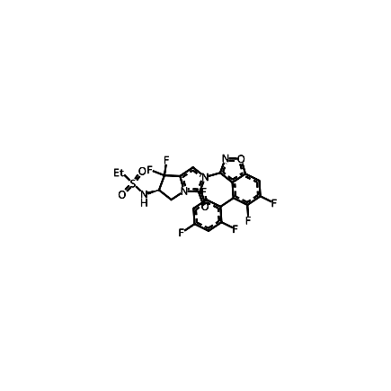 CCS(=O)(=O)N[C@@H]1Cn2c(cn(-c3noc4cc(F)c(F)c(-c5c(F)cc(F)cc5F)c34)c2=O)C1(F)F